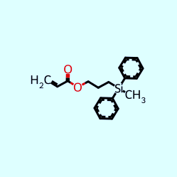 C=CC(=O)OCCC[Si](C)(c1ccccc1)c1ccccc1